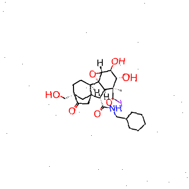 C[C@]1(C(=O)I)[C@H]2[C@H](C(=O)NCC3CCCCC3)[C@@]34CC(=O)[C@@](CO)(CC[C@H]3[C@]23O[C@@H]3[C@@H](O)[C@@H]1O)C4